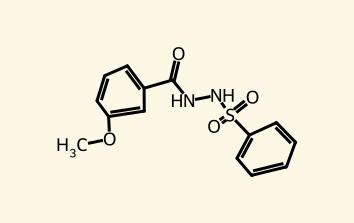 COc1cccc(C(=O)NNS(=O)(=O)c2ccccc2)c1